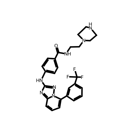 O=C(NCCN1CCNCC1)c1ccc(Nc2nc3cccc(-c4cccc(C(F)(F)F)c4)n3n2)cc1